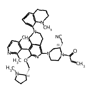 C=CC(=O)N1CCN(c2nc(OC[C@@H]3CCCN3C)c(-c3c(C)ccnc3C)c3c2CCN(c2cccc4c2N(C)CCC4)C3)C[C@@H]1CC#N